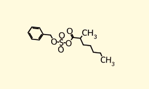 CCCCCC(C)C(=O)OS(=O)(=O)OCc1ccccc1